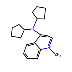 C[n+]1ccc(N(C2CCCC2)C2CCCC2)c2ccccc21